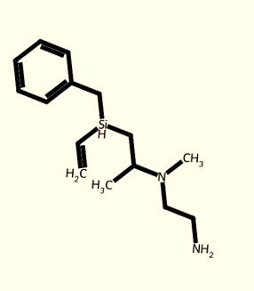 C=C[SiH](Cc1ccccc1)CC(C)N(C)CCN